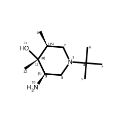 C[C@H]1CN(C(C)(C)C)C[C@@H](N)[C@]1(C)O